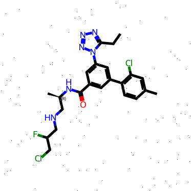 CCc1nnnn1-c1cc(C(=O)N[C@H](C)CNCC(F)CCl)cc(-c2ccc(C)cc2Cl)c1